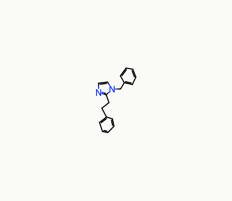 c1ccc(CCc2nccn2Cc2ccccc2)cc1